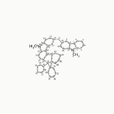 Cn1c2ccccc2c2cc(Cc3ccc4c(c3)c3c5c(ccc3n4C)C(c3ccccc3)(c3ccccc3)c3ccccc3-5)ccc21